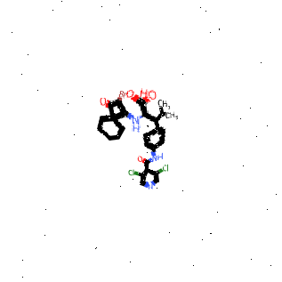 CC(C)C(c1ccc(NC(=O)c2c(Cl)cncc2Cl)cc1)[C@H](NC1=C(Br)C(=O)C12CCCCC2)C(=O)O